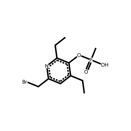 CCc1cc(CBr)nc(CC)c1OP(C)(=O)O